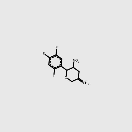 C=C1COC(c2cc(F)c(F)cc2F)C([N+](=O)[O-])C1